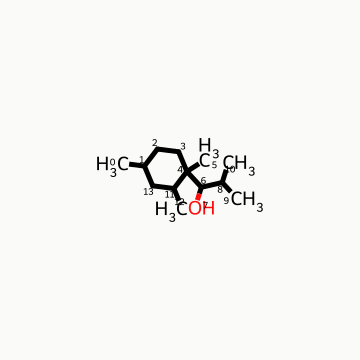 CC1CCC(C)(C(O)C(C)C)C(C)C1